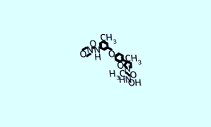 Cc1cc(COc2ccc(C3(C)CCN(C(C)C(=O)NO)C3=O)cc2)cc(NC(=O)N2CCOCC2)c1